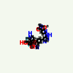 COc1nc(Nc2cc(-c3ccc(OC4CCNCC4(C(=O)[C@@H](O)F)C(=O)[C@@H](O)F)c(C#N)c3)ncn2)ccc1C(=O)N(C)C